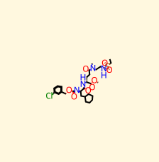 CCS(=O)(=O)NCCN(C)C(=O)CC[C@H](NC(=O)/C(CC1CCCCC1)=N/C(=O)OCc1cccc(Cl)c1)C(=O)OC